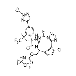 CC(C)(C[C@]1(c2ccc(-c3cnn(C4CC4)n3)cc2)N/C2=N\C(F)n3ncnc3-c3cc(ccc3Cl)[C@@H](COC(=O)NC3(C(F)(F)F)CC3)N2C1=O)C(F)(F)F